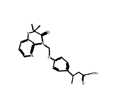 CC(CC(=O)O)c1ccc(OCN2C(=O)C(C)(C)Oc3cccnc32)cc1